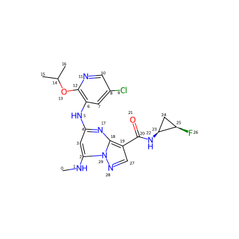 CNc1cc(Nc2cc(Cl)cnc2OC(C)C)nc2c(C(=O)N[C@H]3C[C@H]3F)cnn12